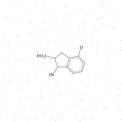 [C-]#[N+]C1c2cccc(Cl)c2CC1C(=O)OCC